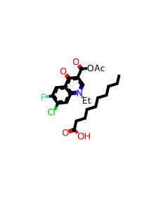 CCCCCCCCCC(=O)O.CCn1cc(C(=O)OC(C)=O)c(=O)c2cc(F)c(Cl)cc21